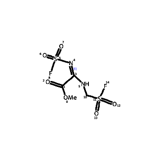 COC(=O)/C(=N\S(=O)(=O)F)NCS(=O)(=O)F